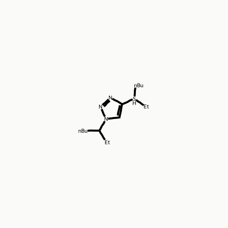 CCCCC(CC)n1cc([SH](CC)CCCC)nn1